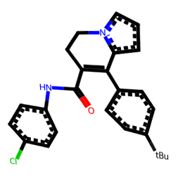 CC(C)(C)c1ccc(C2=C(C(=O)Nc3ccc(Cl)cc3)CCn3cccc32)cc1